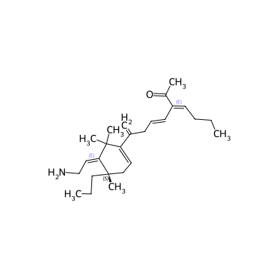 C=C(CC=C/C(=C\CCC)C(C)=O)C1=CC[C@](C)(CCC)/C(=C\CN)C1(C)C